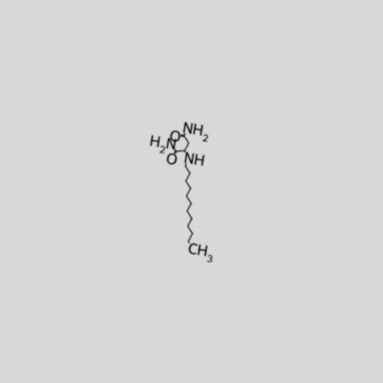 CCCCCCCCCCCCNC(CC(N)=O)C(N)=O